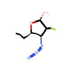 B[C@@H]1O[C@H](CC)[C@H](N=[N+]=[N-])C1F